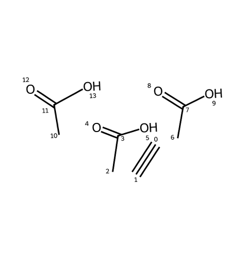 C#C.CC(=O)O.CC(=O)O.CC(=O)O